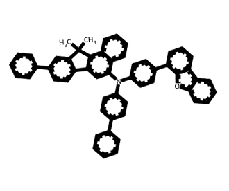 CC1(C)c2cc(-c3ccccc3)ccc2-c2cc(N(c3ccc(-c4ccccc4)cc3)c3ccc(-c4cccc5c4oc4ccccc45)cc3)c3ccccc3c21